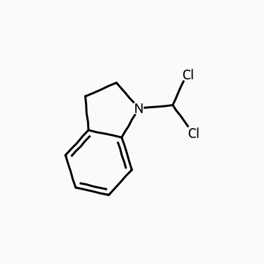 ClC(Cl)N1CCc2ccccc21